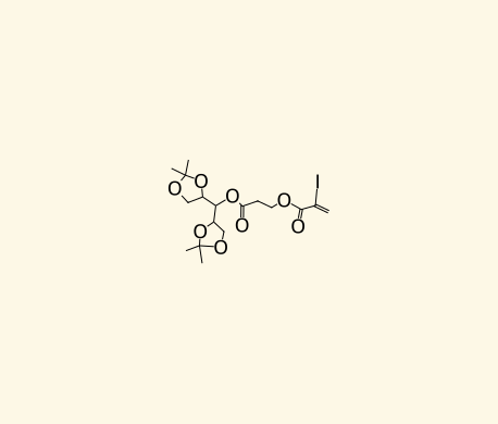 C=C(I)C(=O)OCCC(=O)OC(C1COC(C)(C)O1)C1COC(C)(C)O1